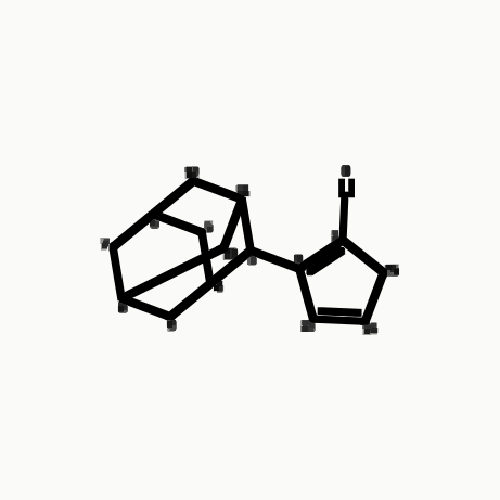 [Li][C]1=C(C2C3CC4CC(C3)CC2C4)C=CC1